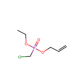 C=CCOP(=O)(CCl)OCC